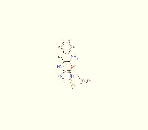 CCOC(=O)Cn1c(Cl)cnc(N[C@H](CN)Cc2ccccc2)c1=O